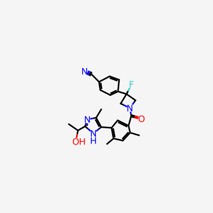 Cc1cc(C)c(-c2[nH]c(C(C)O)nc2C)cc1C(=O)N1CC(F)(c2ccc(C#N)cc2)C1